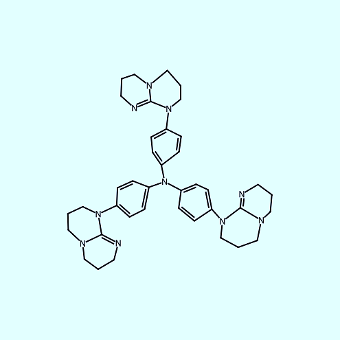 c1cc(N(c2ccc(N3CCCN4CCCN=C43)cc2)c2ccc(N3CCCN4CCCN=C43)cc2)ccc1N1CCCN2CCCN=C21